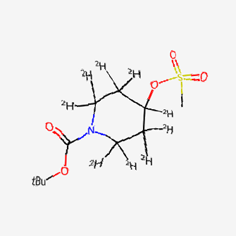 [2H]C1([2H])N(C(=O)OC(C)(C)C)C([2H])([2H])C([2H])([2H])C([2H])(OS(C)(=O)=O)C1([2H])[2H]